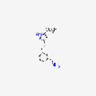 NCc1cccc(CCc2c[nH]c(C(=O)O)c2)c1